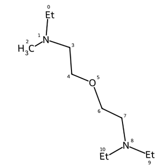 CCN(C)CCOCCN(CC)CC